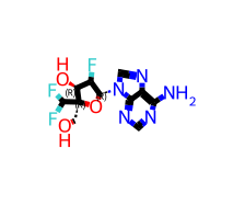 Nc1ncnc2c1ncn2[C@@H]1O[C@@](CO)(C(F)F)[C@@H](O)C1F